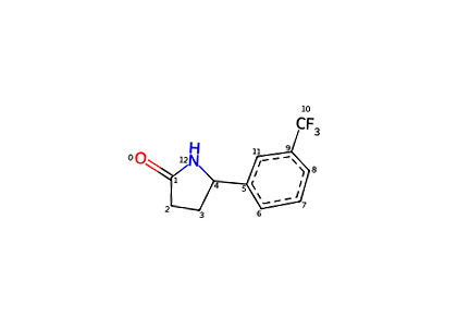 O=C1CCC(c2cccc(C(F)(F)F)c2)N1